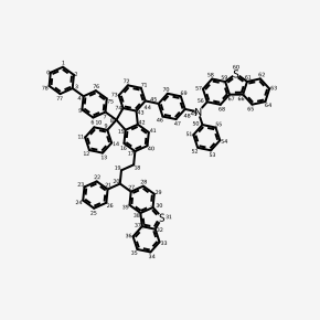 c1ccc(-c2ccc(C3(c4ccccc4)c4cc(CCC(c5ccccc5)c5ccc6sc7ccccc7c6c5)ccc4-c4c(-c5ccc(N(c6ccccc6)c6ccc7sc8ccccc8c7c6)cc5)cccc43)cc2)cc1